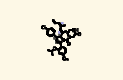 C=C/C=C(C)\C=C(/C)[C@@H]1[C@H](c2ccc(Cl)cc2)N=C(c2ccc(OC)cc2OC(C)C)N1C(=O)N1CCNC(=O)C1